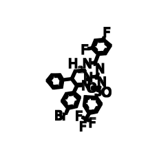 N/C(=N\C(=N\S(=O)(=O)c1ccc(C(F)(F)F)cc1)N1CCC(c2ccccc2)C(c2ccc(Br)cc2)=N1)c1ccc(F)cc1F